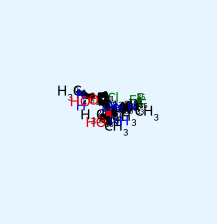 CNC[C@@H](O)COc1ccc(Cl)c(-c2nc(/C(C(C)=N)=C(\C)O)c(C)c(N3CC4(C3)CN([C@H](C)C(F)(F)F)C4)n2)c1